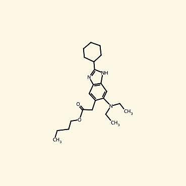 CCCCOC(=O)Cc1cc2nc(C3CCCCC3)[nH]c2cc1N(CC)CC